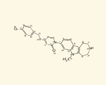 Cn1c2c(c3ccc(-n4ccc(OCc5ccc(Cl)cc5)cc4=O)cc31)CCNCC2